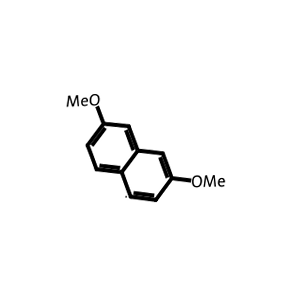 COc1c[c]c2ccc(OC)cc2c1